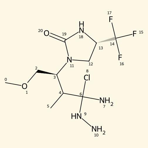 COC[C@H](C(C)C(N)(Cl)NN)N1C[C@@H](C(F)(F)F)NC1=O